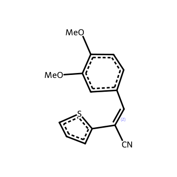 COc1ccc(/C=C(/C#N)c2cccs2)cc1OC